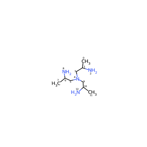 CC(N)CN(CC(C)N)CC(C)N